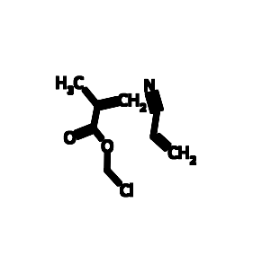 C=C(C)C(=O)OCCl.C=CC#N